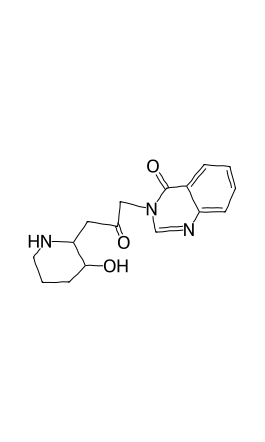 O=C(CC1NCCCC1O)Cn1cnc2ccccc2c1=O